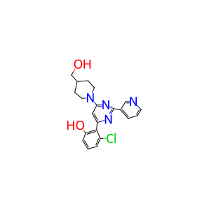 OCC1CCN(c2cc(-c3c(O)cccc3Cl)nc(-c3cccnc3)n2)CC1